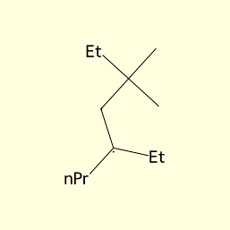 CCC[C](CC)CC(C)(C)CC